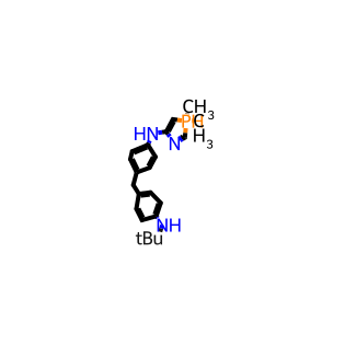 CC(C)(C)Nc1ccc(Cc2ccc(NC3=C[PH](C)(C)C=N3)cc2)cc1